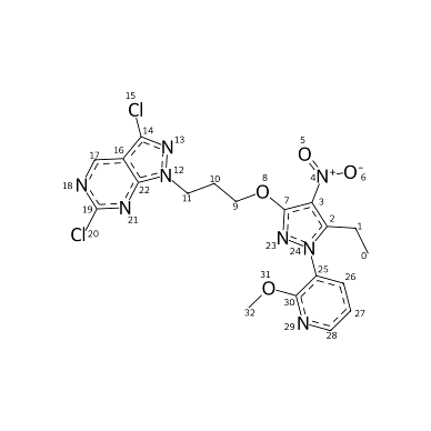 CCc1c([N+](=O)[O-])c(OCCCn2nc(Cl)c3cnc(Cl)nc32)nn1-c1cccnc1OC